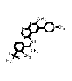 COc1nc2ncnc(N[C@H](C)c3cccc(C(C)(F)F)c3C)c2cc1C1CCN(C)CC1